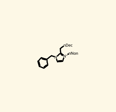 CCCCCCCCCCCc1n(Cc2ccccc2)cc[n+]1CCCCCCCCC